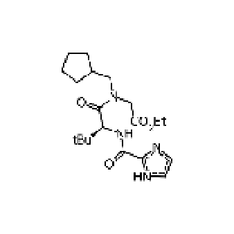 CCOC(=O)CN(CC1CCCC1)C(=O)[C@@H](NC(=O)c1ncc[nH]1)C(C)(C)C